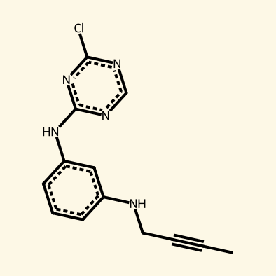 CC#CCNc1cccc(Nc2ncnc(Cl)n2)c1